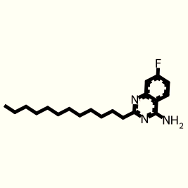 CCCCCCCCCCCCc1nc(N)c2ccc(F)cc2n1